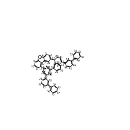 C1=CC(c2ccc3oc4cccc(-c5nc(-c6ccccc6)nc(-c6cccc(-c7ccccc7)c6)n5)c4c3c2)CC=C1c1cccc(-c2ccccc2)c1